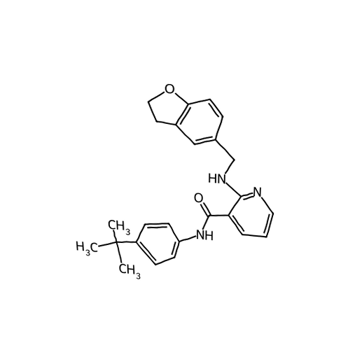 CC(C)(C)c1ccc(NC(=O)c2cccnc2NCc2ccc3c(c2)CCO3)cc1